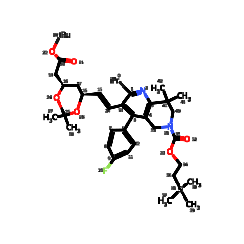 CC(C)c1nc2c(c(-c3ccc(F)cc3)c1/C=C/[C@@H]1C[C@H](CC(=O)OC(C)(C)C)OC(C)(C)O1)CN(C(=O)OCC[Si](C)(C)C)CC2(C)C